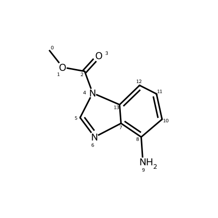 COC(=O)n1cnc2c(N)cccc21